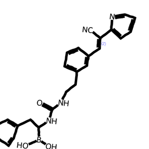 N#C/C(=C\c1cccc(CCNC(=O)NC(Cc2ccccc2)B(O)O)c1)c1ccccn1